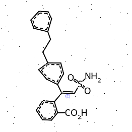 NS(=O)(=O)/C=C(\c1ccc(CCc2ccccc2)cc1)c1ccccc1C(=O)O